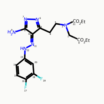 CCOC(=O)CN(CCC1=NN=C(N)C1=NNc1ccc(F)c(F)c1)C(=O)OCC